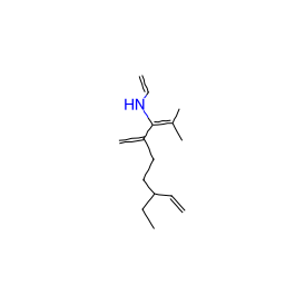 C=CNC(C(=C)CCC(C=C)CC)=C(C)C